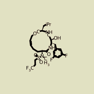 CC(C)C[C@@H]1COC/C=C\CC[C@H](N(C)S(=O)(=O)CCC(F)(F)F)C(=O)N[C@@H](Cc2cc(F)cc(F)c2)[C@H](O)CN1